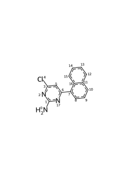 Nc1nc(Cl)cc(-c2cccc3ccccc23)n1